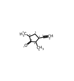 C#CC1CC(C)C(=O)C1C